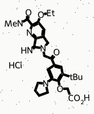 CCOc1cc2c(nc1C(=O)NC)C(=N)N(CC(=O)c1cc(N3CCCC3)c(OCC(=O)O)c(C(C)(C)C)c1)C2.Cl